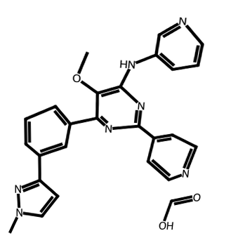 COc1c(Nc2cccnc2)nc(-c2ccncc2)nc1-c1cccc(-c2ccn(C)n2)c1.O=CO